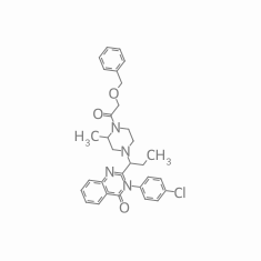 CCC(c1nc2ccccc2c(=O)n1-c1ccc(Cl)cc1)N1CCN(C(=O)COCc2ccccc2)C(C)C1